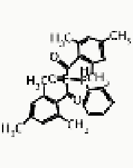 Cc1cc(C)c(C(=O)P(=O)(Pc2ccccc2)C(=O)c2c(C)cc(C)cc2C)c(C)c1